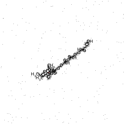 CC/N=c1\cc2oc3cc(NCC)c(C)cc3c(-c3ccccc3C(=O)OCC(=O)NCCOCCOCCNC(=O)COCC(=O)NCCOCCOCCNC(=O)/C=C/c3ccc(O)cc3)c-2cc1C